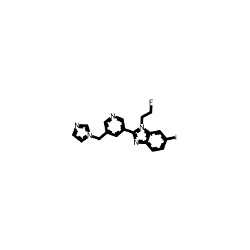 FCCn1c(-c2cncc(Cn3ccnc3)c2)nc2ccc(I)cc21